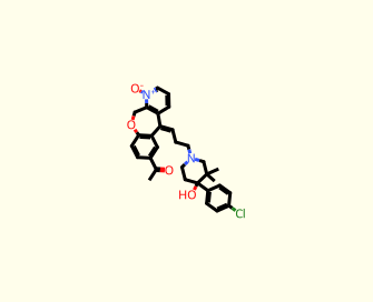 CC(=O)c1ccc2c(c1)C(=CCCN1CCC(O)(c3ccc(Cl)cc3)C(C)(C)C1)c1ccc[n+]([O-])c1CO2